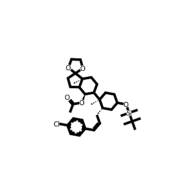 CC(=O)O[C@H]1C2CCC3(OCCO3)[C@@]2(C)CCC1[C@@]1(C)CCC(O[Si](C)(C)C(C)(C)C)C[C@@H]1C/C=C\c1ccc(Cl)cc1